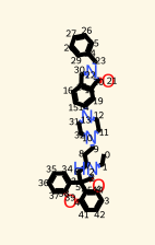 CCNC(=O)C1(CCCCN2CCN(c3ccc4c(c3)C(=O)N(Cc3ccccc3)C4)CC2)c2ccccc2Oc2ccccc21